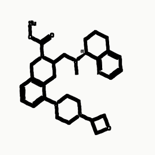 CN(CC1Cc2c(cccc2N2CCN(C3COC3)CC2)CN1C(=O)OC(C)(C)C)[C@H]1CCCc2cccnc21